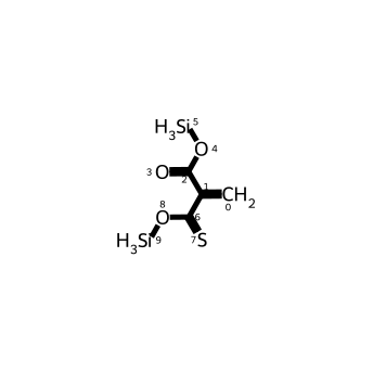 C=C(C(=O)O[SiH3])C(=S)O[SiH3]